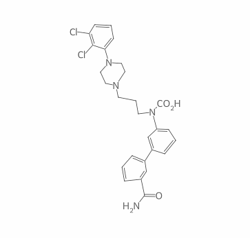 NC(=O)c1cccc(-c2cccc(N(CCCN3CCN(c4cccc(Cl)c4Cl)CC3)C(=O)O)c2)c1